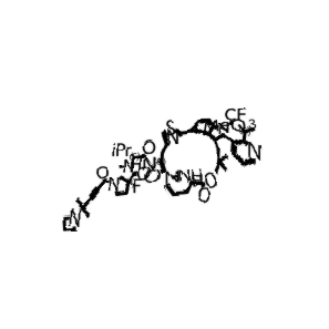 CO[C@@H](C)c1ncccc1-c1c2c3cc(ccc3n1CC(F)(F)F)-c1nc(cs1)C[C@H](NC(=O)[C@H](C(C)C)N(C)C(=O)[C@@]1(F)CCN(C(=O)C#CC(C)(C)N3CCC3)C1)C(=O)N1CCC[C@H](N1)C(=O)OCC(C)(C)C2